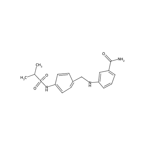 CC(C)S(=O)(=O)Nc1ccc(CNc2cccc(C(N)=O)c2)cc1